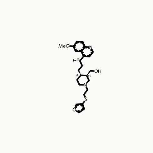 COc1ccc2nccc([C@@H](F)CC[C@@H]3CCN(CCSc4ccoc4)C[C@@H]3CO)c2c1